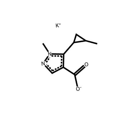 CC1CC1c1c(C(=O)[O-])cnn1C.[K+]